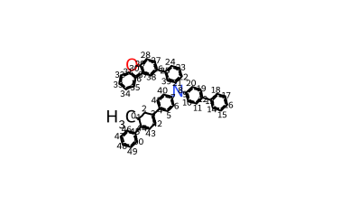 CC1CC(c2ccc(N(c3ccc(-c4ccccc4)cc3)c3cccc(-c4ccc5oc6ccccc6c5c4)c3)cc2)=CC=C1c1ccccc1